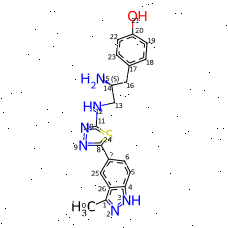 Cc1n[nH]c2ccc(-c3nnc(NC[C@@H](N)Cc4ccc(O)cc4)s3)cc12